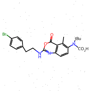 Cc1c(N(C(=O)O)C(C)(C)C)ccc2nc(NCCc3ccc(Br)cc3)oc(=O)c12